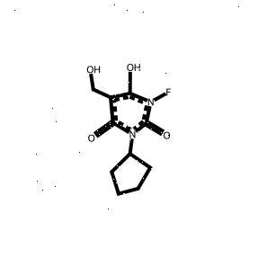 O=c1c(CO)c(O)n(F)c(=O)n1C1CCCC1